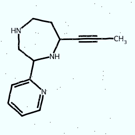 CC#CC1CCNCC(c2ccccn2)N1